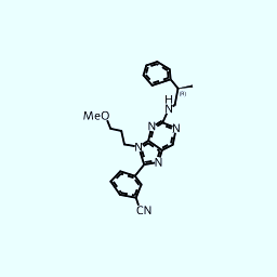 COCCCn1c(-c2cccc(C#N)c2)nc2cnc(NC[C@H](C)c3ccccc3)nc21